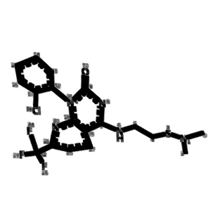 CN(C)SCCNc1nc(=O)n(-c2ccccc2Cl)c2nc(C(F)(F)F)ccc12